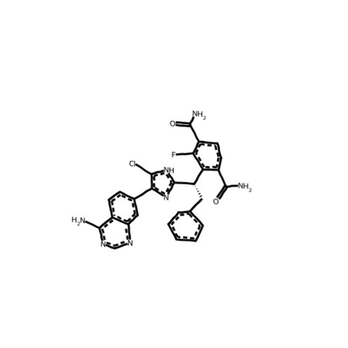 NC(=O)c1ccc(C(N)=O)c([C@H](Cc2ccccc2)c2nc(-c3ccc4c(N)ncnc4c3)c(Cl)[nH]2)c1F